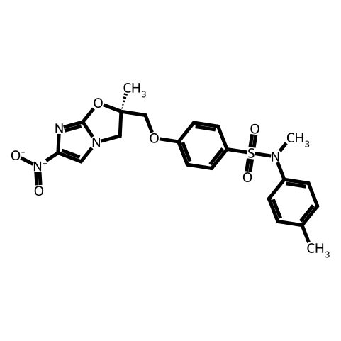 Cc1ccc(N(C)S(=O)(=O)c2ccc(OC[C@@]3(C)Cn4cc([N+](=O)[O-])nc4O3)cc2)cc1